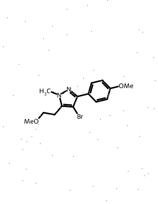 COCCc1c(Br)c(-c2ccc(OC)cc2)nn1C